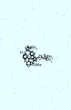 COC(=O)c1nn(COCC[Si](C)(C)C)c2c3ncc(-c4c(C)nnn4C)cc3n(C(c3ncccc3F)C3CCOCC3)c12